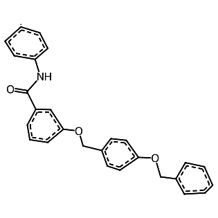 O=C(Nc1cc[c]cc1)c1cccc(OCc2ccc(OCc3ccccc3)cc2)c1